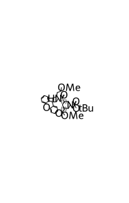 COCCCCC1(CNC(=O)[C@H]2C[C@H](C(=O)OC)CN(C(=O)OC(C)(C)C)C2)c2ccccc2Oc2ccccc21